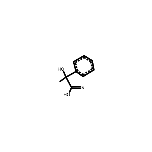 CC(O)(C(O)=S)c1ccccc1